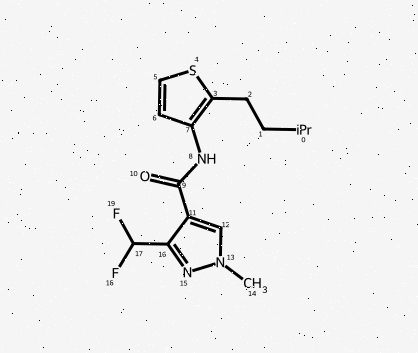 CC(C)CCc1sccc1NC(=O)c1cn(C)nc1C(F)F